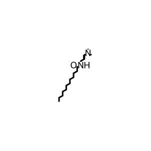 CCCCCCCCCCCC(=O)NCC=CN(C)C